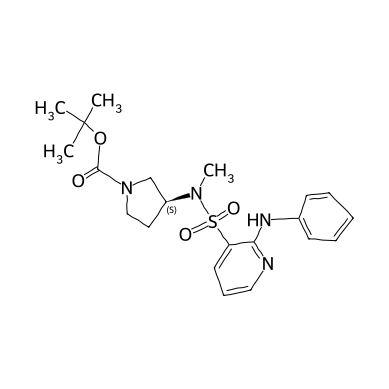 CN([C@H]1CCN(C(=O)OC(C)(C)C)C1)S(=O)(=O)c1cccnc1Nc1ccccc1